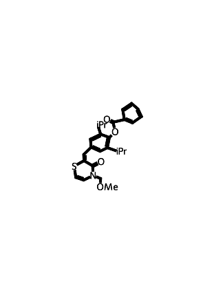 COCN1C=CSC(=Cc2cc(C(C)C)c(OC(=O)c3ccccc3)c(C(C)C)c2)C1=O